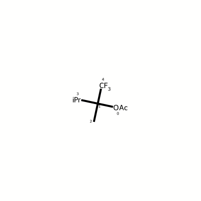 CC(=O)OC(C)(C(C)C)C(F)(F)F